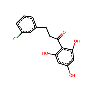 O=C(CCc1cccc(Cl)c1)c1c(O)cc(O)cc1O